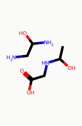 CC(O)NCC(=O)O.NCC(N)O